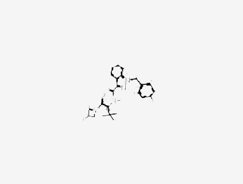 CC(C)(C)[C@H](NC(=O)c1nn(Cc2ccc(F)cc2)c2ccccc12)C(=O)N1CC(F)C1